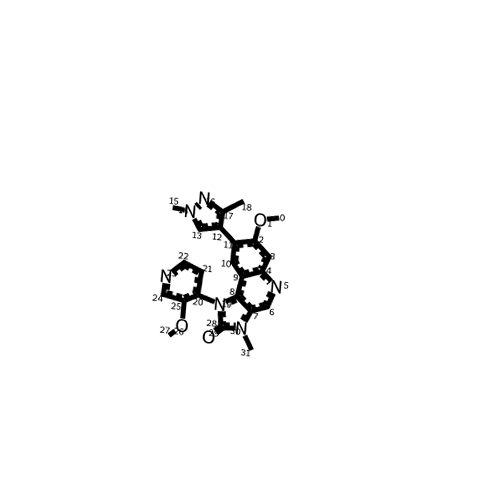 COc1cc2ncc3c(c2cc1-c1cn(C)nc1C)n(-c1ccncc1OC)c(=O)n3C